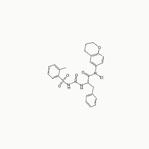 CCN(C(=O)C(Cc1ccccc1)NC(=O)NS(=O)(=O)c1ccccc1C)c1ccc2c(c1)CCCO2